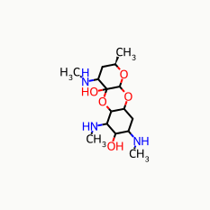 CNC1CC2OC3O[C@H](C)CC(NC)C3(O)OC2C(NC)C1O